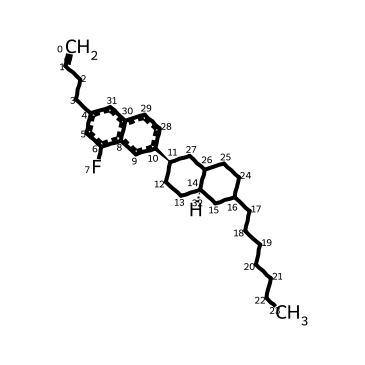 C=CCCc1cc(F)c2cc([C@@H]3CC[C@@H]4CC(CCCCCCC)CCC4C3)ccc2c1